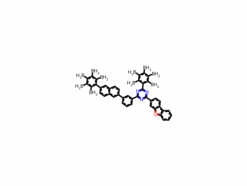 Bc1c(B)c(B)c(-c2ccc3cc(-c4cccc(-c5nc(-c6ccc7c(c6)oc6ccccc67)nc(-c6c(B)c(B)c(B)c(B)c6B)n5)c4)ccc3c2)c(B)c1B